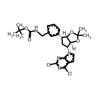 CC(C)(C)OC(=O)NCc1cccc([C@H]2C[C@@H](n3ccc4c(Cl)nc(Cl)nc43)[C@@H]3OC(C)(C)O[C@@H]32)c1